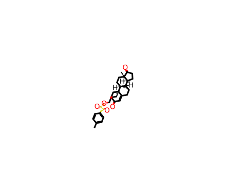 Cc1ccc(S(=O)(=O)OCCC[C@]23CCC(=O)C=C2CC[C@@H]2[C@@H]3CC[C@]3(C)C(=O)CC[C@@H]23)cc1